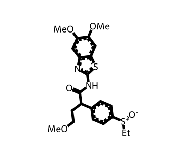 CC[S+]([O-])c1ccc(C(CCOC)C(=O)Nc2nc3cc(OC)c(OC)cc3s2)cc1